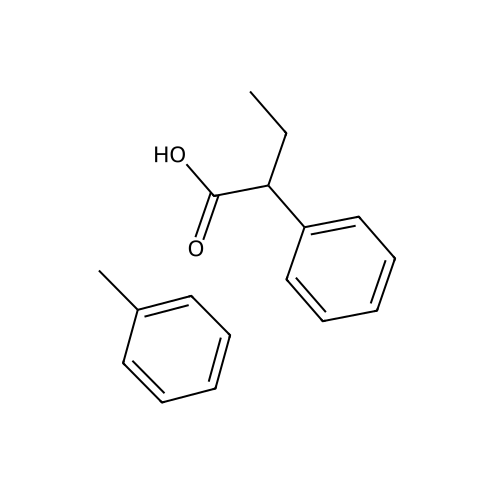 CCC(C(=O)O)c1ccccc1.Cc1ccccc1